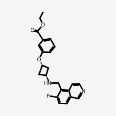 CCOC(=O)c1cccc(O[C@H]2C[C@H](NCc3c(F)ccc4cnccc34)C2)c1